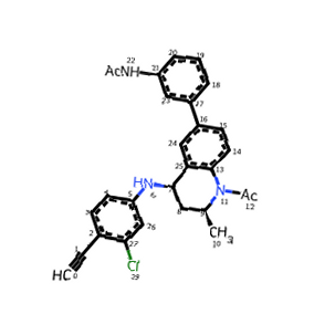 C#Cc1ccc(N[C@@H]2C[C@H](C)N(C(C)=O)c3ccc(-c4cccc(NC(C)=O)c4)cc32)cc1Cl